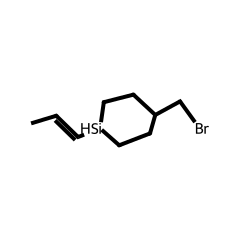 C/C=C/[SiH]1CCC(CBr)CC1